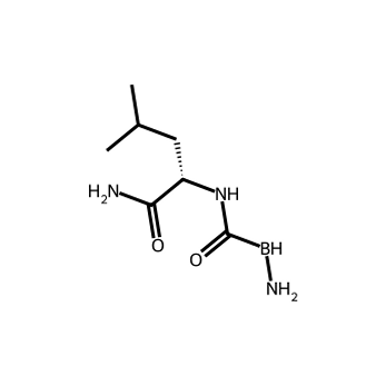 CC(C)C[C@H](NC(=O)BN)C(N)=O